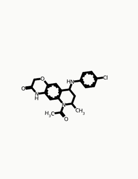 CC(=O)N1c2cc3c(cc2C(Nc2ccc(Cl)cc2)CC1C)OCC(=O)N3